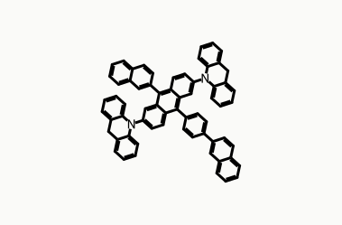 c1ccc2c(c1)Cc1ccccc1N2c1ccc2c(-c3ccc4ccccc4c3)c3cc(N4c5ccccc5Cc5ccccc54)ccc3c(-c3ccc(-c4ccc5ccccc5c4)cc3)c2c1